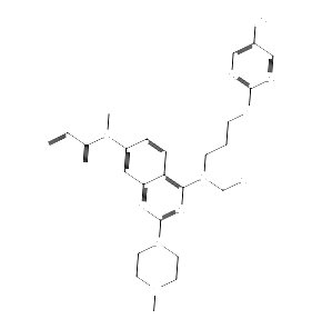 C=CC(=O)N(C)c1ccc2c(N(CN)CCCNc3ncc(C#N)cn3)nc(N3CCN(C)CC3)nc2c1